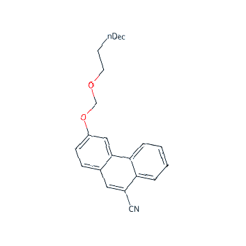 CCCCCCCCCCCCOCOc1ccc2cc(C#N)c3ccccc3c2c1